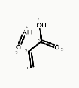 C=CC(=O)O.[O]=[AlH]